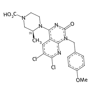 COc1ccc(Cn2c(=O)nc(N3CCN(C(=O)O)C[C@@H]3C)c3cc(Cl)c(Cl)nc32)cc1